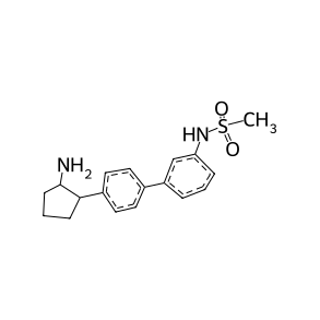 CS(=O)(=O)Nc1cccc(-c2ccc(C3CCCC3N)cc2)c1